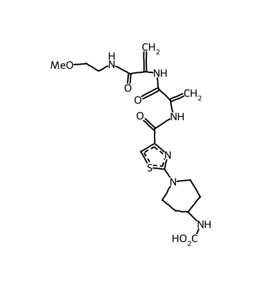 C=C(NC(=O)C(=C)NC(=O)c1csc(N2CCC(NC(=O)O)CC2)n1)C(=O)NCCOC